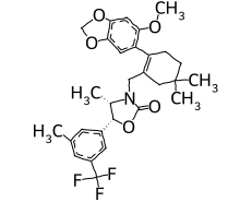 COc1cc2c(cc1C1=C(CN3C(=O)O[C@H](c4cc(C)cc(C(F)(F)F)c4)[C@@H]3C)CC(C)(C)CC1)OCO2